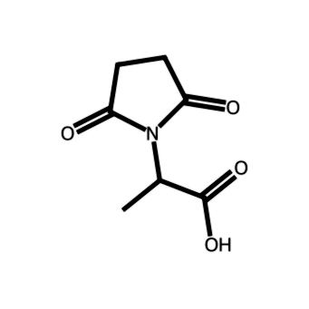 CC(C(=O)O)N1C(=O)CCC1=O